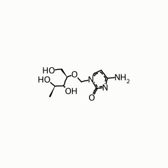 C[C@@H](O)[C@H](O)[C@@H](CO)OCn1ccc(N)nc1=O